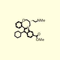 CNCC[C@H]1COc2ccccc2-c2c(C3CCCCC3)c3ccc(C(=O)OC)cc3n2C1